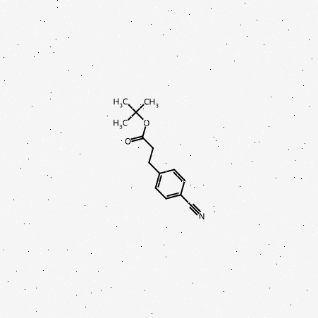 CC(C)(C)OC(=O)CCc1ccc(C#N)cc1